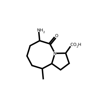 CC1CCCC(N)C(=O)N2C(C(=O)O)CCC12